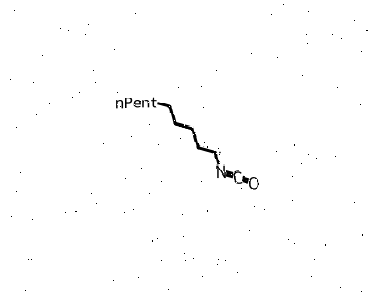 CCCCCCCCC[CH]N=C=O